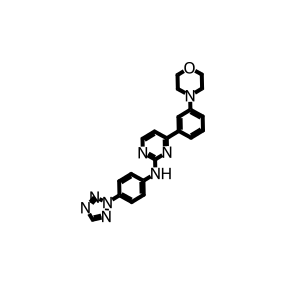 c1cc(-c2ccnc(Nc3ccc(-n4ncnn4)cc3)n2)cc(N2CCOCC2)c1